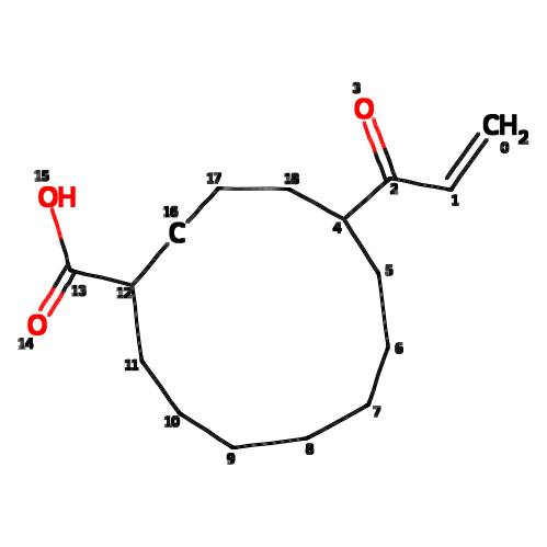 C=CC(=O)C1CCCCCCCC(C(=O)O)CCC1